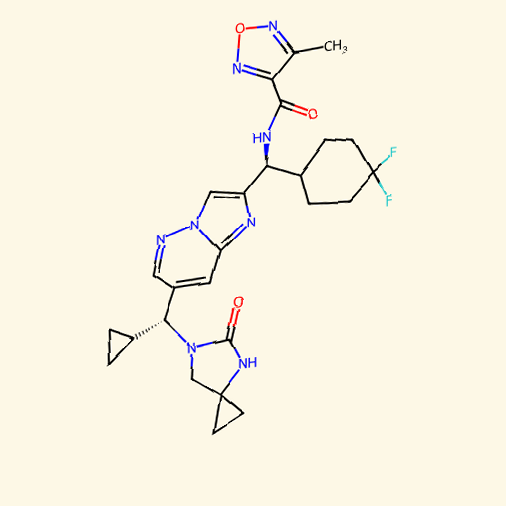 Cc1nonc1C(=O)N[C@H](c1cn2ncc([C@@H](C3CC3)N3CC4(CC4)NC3=O)cc2n1)C1CCC(F)(F)CC1